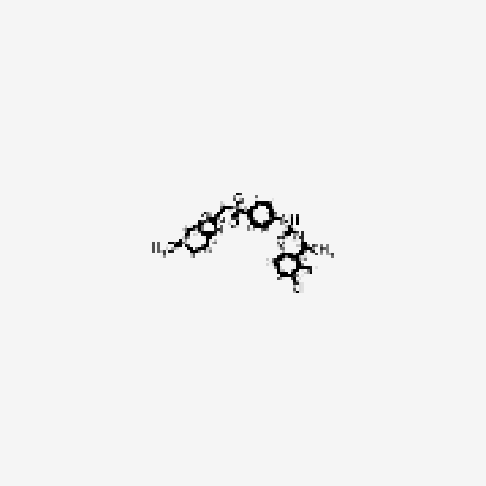 CC(NC(=O)Nc1ccc(S(=O)(=O)Cc2nc3c(s2)CN(C)CC3)cc1)c1cccc(Cl)c1Cl